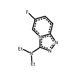 CCN(CC)c1nnc2ccc(F)cn12